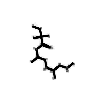 CCC(C)(C)C(=O)OC(C)COC(C)COC